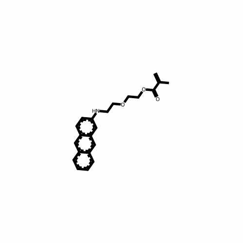 C=C(C)C(=O)OCCOCCNc1ccc2cc3ccccc3cc2c1